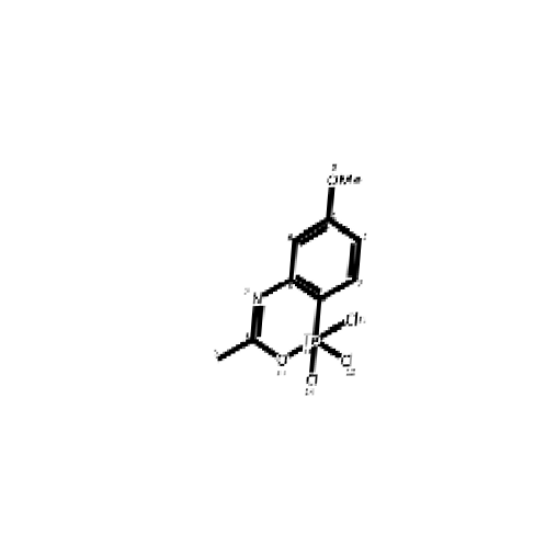 COc1ccc2c(c1)N=C(C)O[Te]2(Cl)(Cl)Cl